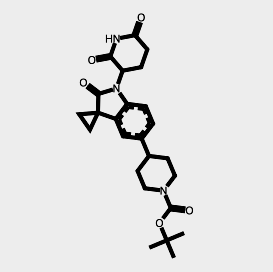 CC(C)(C)OC(=O)N1CCC(c2ccc3c(c2)C2(CC2)C(=O)N3C2CCC(=O)NC2=O)CC1